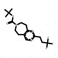 CC(C)(C)OC(=O)N1CCc2cnc(CCC(F)(F)F)nc2CC1